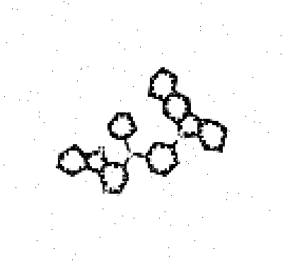 c1ccc(N(c2cccc(-n3c4ccccc4c4cc5ccccc5cc43)c2)c2ccnc3c2oc2ccccc23)cc1